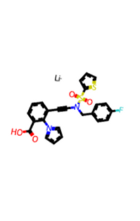 O=C(O)c1cccc(C#CN(Cc2ccc(F)cc2)S(=O)(=O)c2cccs2)c1-n1cccc1.[Li]